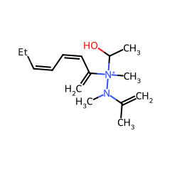 C=C(C)N(C)[N+](C)(C(=C)/C=C\C=C/CC)C(C)O